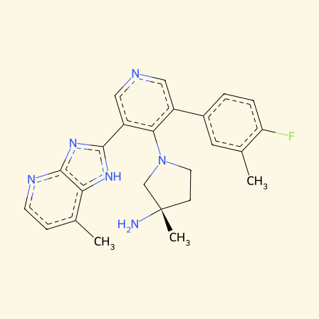 Cc1cc(-c2cncc(-c3nc4nccc(C)c4[nH]3)c2N2CC[C@](C)(N)C2)ccc1F